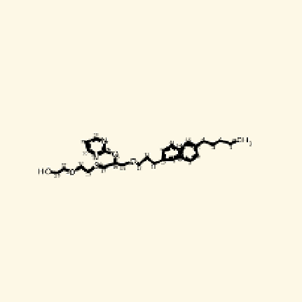 CCCCCc1ccc2cc(CCCOCC(CSCCOCCO)Oc3ncccn3)ccc2c1